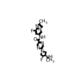 CN[C@@H]1CN(c2cnc(C(=O)Nc3cc(F)c4nc(C)cn4c3)cn2)C[C@@H]1F